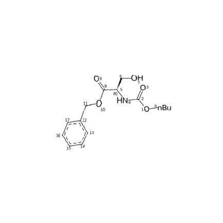 CCCCOC(=O)N[C@H](CO)C(=O)OCc1ccccc1